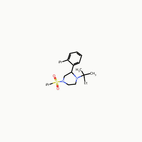 CCC(C)(C)N1CCN(S(=O)(=O)C(C)C)CC1c1ccccc1C(C)C